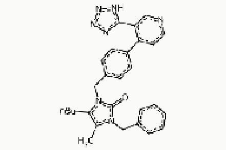 CCCCc1c(C)n(Cc2ccccc2)c(=O)n1Cc1ccc(-c2ccncc2-c2nnn[nH]2)cc1